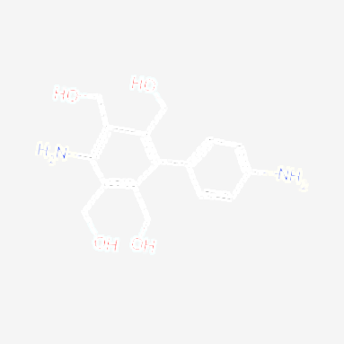 Nc1ccc(-c2c(CO)c(CO)c(N)c(CO)c2CO)cc1